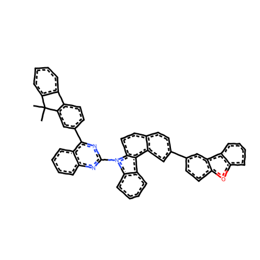 CC1(C)c2ccccc2-c2ccc(-c3nc(-n4c5ccccc5c5c6cc(-c7ccc8oc9ccccc9c8c7)ccc6ccc54)nc4ccccc34)cc21